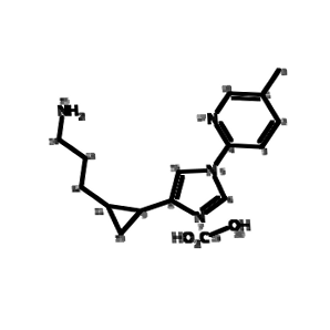 Cc1ccc(-n2cnc(C3CC3CCCN)c2)nc1.O=C(O)O